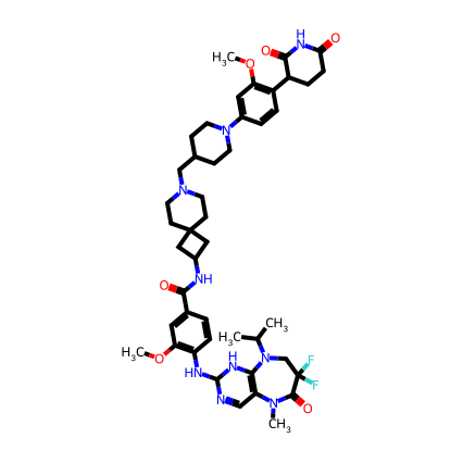 COc1cc(C(=O)NC2CC3(CCN(CC4CCN(c5ccc(C6CCC(=O)NC6=O)c(OC)c5)CC4)CC3)C2)ccc1NC1N=CC2=C(N1)N(C(C)C)CC(F)(F)C(=O)N2C